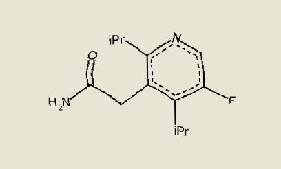 CC(C)c1ncc(F)c(C(C)C)c1CC(N)=O